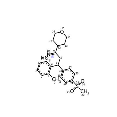 Cc1ccccc1C(C/C(=N\O)C1CCOCC1)c1ccc(S(C)(=O)=O)cc1